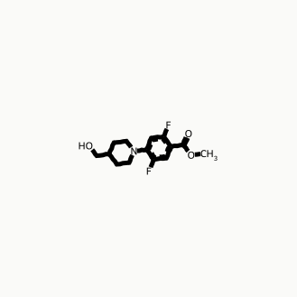 COC(=O)c1cc(F)c(N2CCC(CO)CC2)cc1F